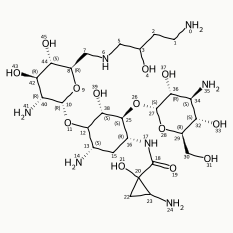 NCCC(O)CNC[C@H]1O[C@H](OC2[C@@H](N)C[C@@H](NC(=O)C3(O)CC3N)[C@H](O[C@H]3O[C@H](CO)[C@@H](O)[C@H](N)[C@H]3O)[C@H]2O)[C@H](N)[C@@H](O)[C@@H]1O